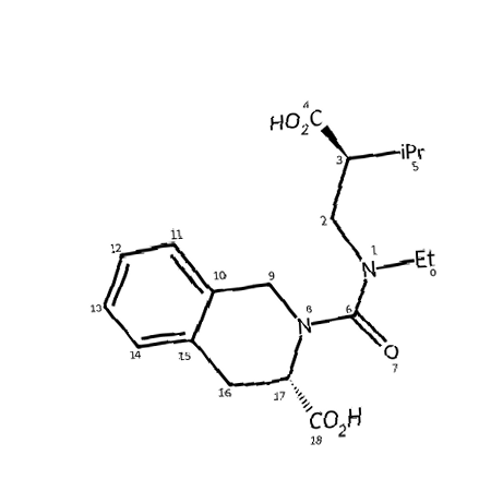 CCN(C[C@@H](C(=O)O)C(C)C)C(=O)N1Cc2ccccc2C[C@H]1C(=O)O